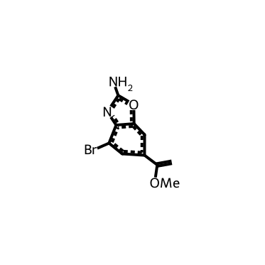 C=C(OC)c1cc(Br)c2nc(N)oc2c1